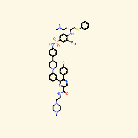 CN(C)CC[C@H](CSc1ccccc1)Nc1ccc(S(=O)(=O)Nc2ccc(C3CCN(c4cccc(-c5nc(C(=O)NCCN6CCN(C)CC6)cnc5-c5ccc(Cl)cc5)c4)CC3)cc2)cc1[N+](=O)[O-]